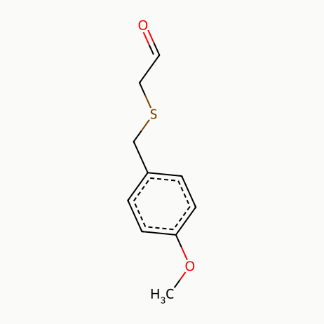 COc1ccc(CSCC=O)cc1